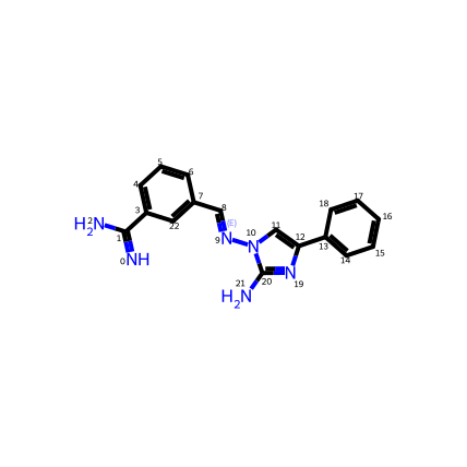 N=C(N)c1cccc(/C=N/n2cc(-c3ccccc3)nc2N)c1